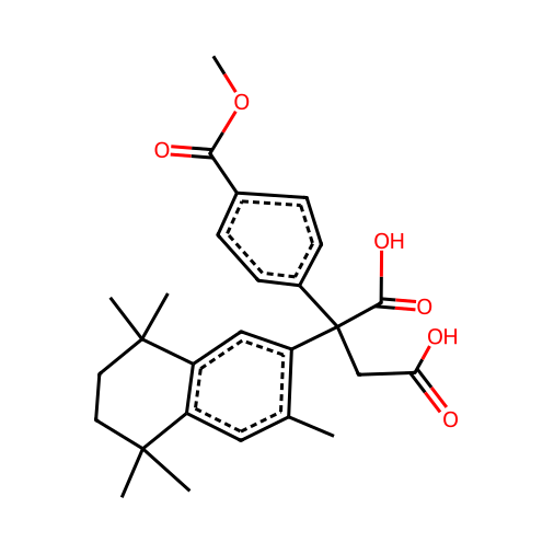 COC(=O)c1ccc(C(CC(=O)O)(C(=O)O)c2cc3c(cc2C)C(C)(C)CCC3(C)C)cc1